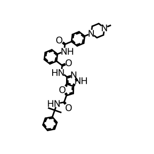 CN1CCN(c2ccc(C(=O)Nc3ccccc3C(=O)Nc3n[nH]c4cc(C(=O)NC(C)(C)c5ccccc5)oc34)cc2)CC1